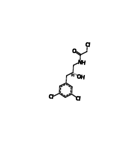 O=C(CCl)NC[C@H](O)Cc1cc(Cl)cc(Cl)c1